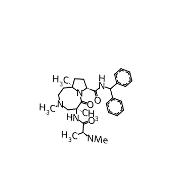 CN[C@@H](C)C(=O)N[C@@]1(C)CN(C)CC[C@@]2(C)CC[C@@H](C(=O)NC(c3ccccc3)c3ccccc3)N2C1=O